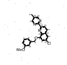 COc1cccc(COc2cc(Cl)cc3ccc(-c4ncc(C)cn4)nc23)c1